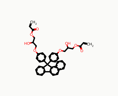 C=CC(=O)OCC(O)COc1ccc(C2(c3ccc(OCC(O)COC(=O)C=C)cc3)c3ccccc3-c3ccc4ccccc4c32)cc1